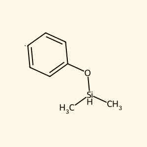 C[SiH](C)Oc1cc[c]cc1